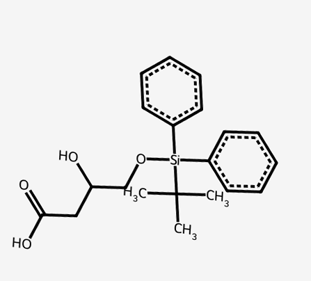 CC(C)(C)[Si](OCC(O)CC(=O)O)(c1ccccc1)c1ccccc1